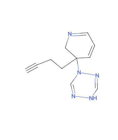 C#CCCC1(N2C=NNC=N2)C=CC=NC1